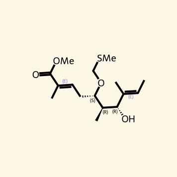 C/C=C(\C)[C@H](O)[C@@H](C)[C@H](C/C=C(\C)C(=O)OC)OCSC